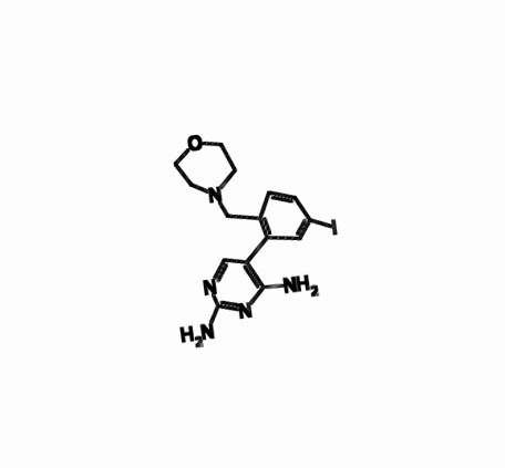 Nc1ncc(-c2cc(I)ccc2CN2CCOCC2)c(N)n1